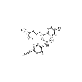 CN(C)CCCOc1ccc(Cl)cc1NC(=O)Nc1cnc(C#N)cn1